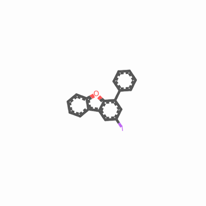 Ic1cc(-c2ccccc2)c2oc3ccccc3c2c1